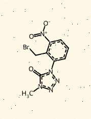 Cn1nnn(-c2cccc([N+](=O)[O-])c2CBr)c1=O